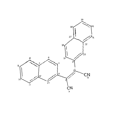 N#C/C(=C(\C#N)c1ccc2ccccc2c1)c1ccc2ccccc2c1